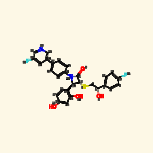 O=C1[C@H](SC[C@@H](O)c2ccc(F)cc2)[C@@H](c2ccc(O)cc2O)N1c1ccc(-c2cncc(F)c2)cc1